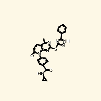 Cc1nc(Sc2n[nH]c(-c3ccccc3)n2)nc2c1ccc(=O)n2-c1ccc(C(=O)NC2CC2)cc1